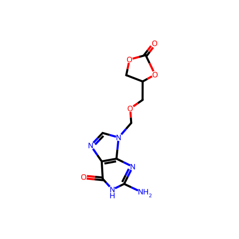 Nc1nc2c(ncn2COCC2COC(=O)O2)c(=O)[nH]1